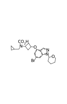 O=C(O)N(CC1CC1)C1CC(Oc2cc(Br)cc3c2cnn3C2CCCCO2)C1